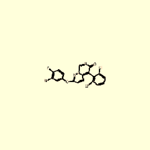 O=c1ncn2nc(Oc3ccc(F)c(Br)c3)ccc2c1-c1c(Cl)cccc1Cl